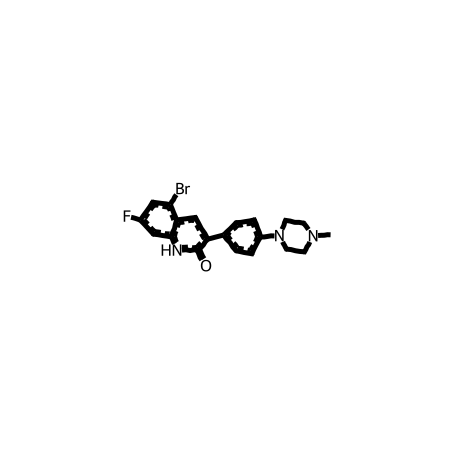 CN1CCN(c2ccc(-c3cc4c(Br)cc(F)cc4[nH]c3=O)cc2)CC1